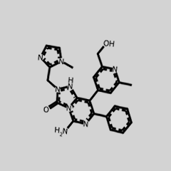 Cc1cc(-c2c(-c3ccccc3)nc(N)[n+]3c(=O)n(Cc4nccn4C)[nH]c23)cc(CO)n1